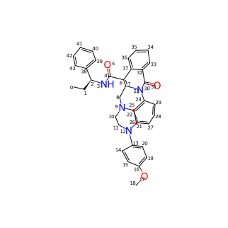 CC[C@H](NC(=O)c1c(CN2CCN(c3ccc(OC)cc3)CC2)n(-c2ccccc2)c(=O)c2ccccc12)c1ccccc1